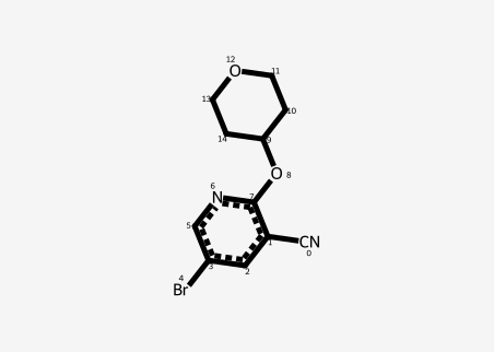 N#Cc1cc(Br)cnc1OC1CCOCC1